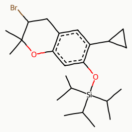 CC(C)[Si](Oc1cc2c(cc1C1CC1)CC(Br)C(C)(C)O2)(C(C)C)C(C)C